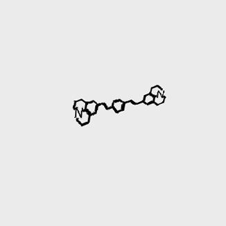 C(=C\c1cc2c3c(c1)CCCN3CCC2)/c1ccc(/C=C/c2cc3c4c(c2)CCCN4CCC3)cc1